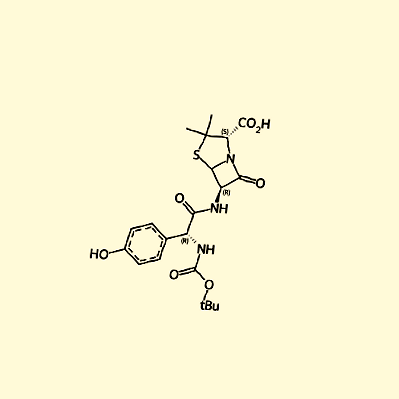 CC(C)(C)OC(=O)N[C@@H](C(=O)N[C@@H]1C(=O)N2C1SC(C)(C)[C@@H]2C(=O)O)c1ccc(O)cc1